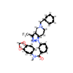 CN(C(=O)c1cccc(-n2nc(C(F)(F)F)c3c2CCN(Cc2ccccc2)C3)c1)c1ccc2c(c1)OCO2